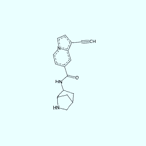 C#Cc1ccn2ccc(C(=O)NC3CC4CNC3C4)cc12